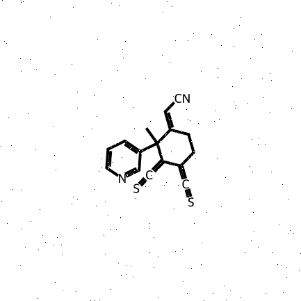 CC1(c2cccnc2)C(=C=S)C(=C=S)CCC1=CC#N